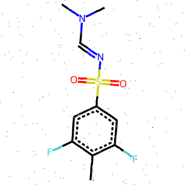 [CH2]c1c(F)cc(S(=O)(=O)N=CN(C)C)cc1F